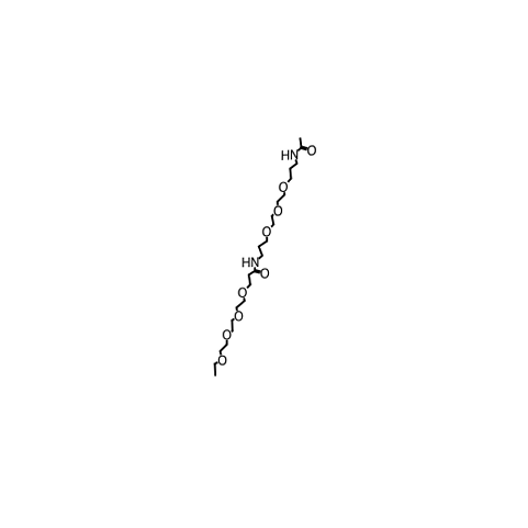 CCOCCOCCOCCOCCC(=O)NCCCOCCOCCOCCCNC(C)=O